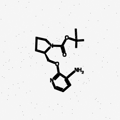 CC(C)(C)OC(=O)N1CCC[C@@H]1COc1ncccc1N